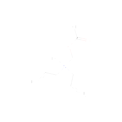 C=CC[N+](C)(CC=C)COC(C)=O